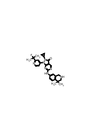 CC(C)(F)c1cc(-n2c3nc(Nc4ccc5c(c4)CNCC5(C)C)ncc3c(=O)n2C2CC2)ccn1